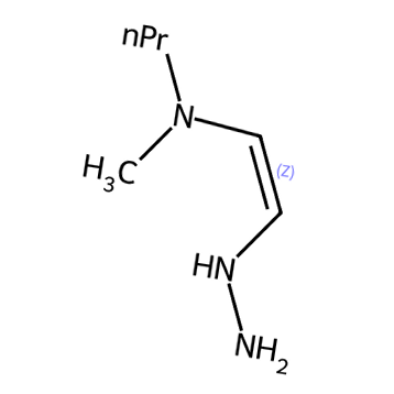 CCCN(C)/C=C\NN